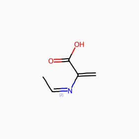 C=C(/N=C\C)C(=O)O